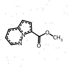 COC(=O)c1ccc2cccnn12